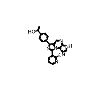 C=C(O)c1ccc(-c2nc(-c3cccnc3C#N)n3c2cnc2[nH]ccc23)cc1